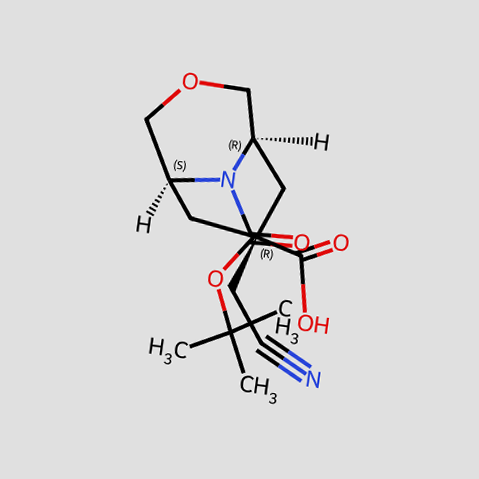 CC(C)(C)OC(=O)N1[C@@H]2COC[C@H]1C[C@](CC#N)(C(=O)O)C2